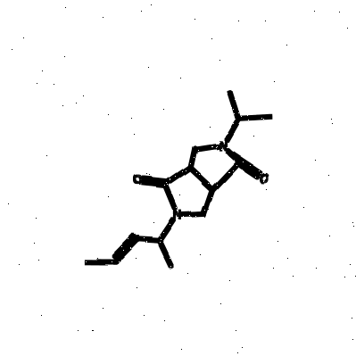 C/C=C/C(C)N1CC2C(=O)N(C(C)C)CC2C1=O